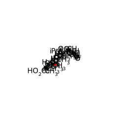 CC(C)C1=C2[C@H]3CC[C@@H]4[C@@]5(C)CC[C@H](OC(=O)[C@H]6C[C@@H](C(=O)O)C6(C)C)C(C)(C)[C@@H]5CC[C@@]4(C)[C@]3(C)CC[C@@]2([C@@H](O)CNC(=O)C(C)(C)NC(=O)CN2CCOCC2)CC1=O